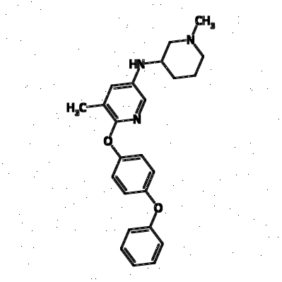 Cc1cc(NC2CCCN(C)C2)cnc1Oc1ccc(Oc2ccccc2)cc1